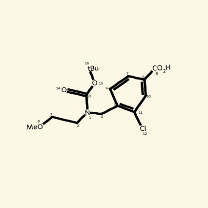 COCCN(Cc1ccc(C(=O)O)cc1Cl)C(=O)OC(C)(C)C